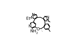 CCn1ncc2c1-c1cnc(N)c(c1)O[C@@H](C)c1cc(C)ccc1-c1c(cnn1C)C2